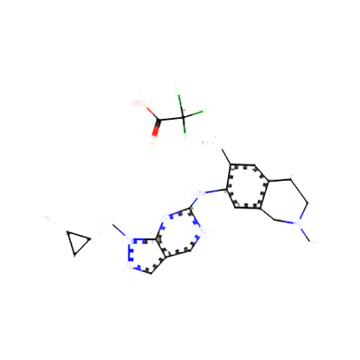 COc1cc2c(cc1Nc1ncc3cnn(C[C@@H]4C[C@@H]4C)c3n1)CN(C)CC2.O=C(O)C(F)(F)F